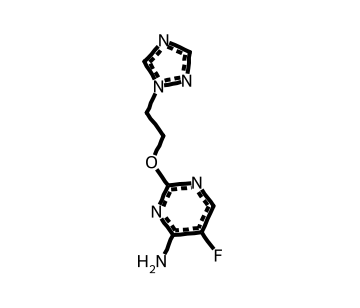 Nc1nc(OCCn2cncn2)ncc1F